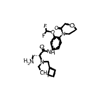 CCN(CC1CCC1)[C@H](CN)C(=O)Nc1ccc(N2CCOCC2=O)c(OC(F)F)c1